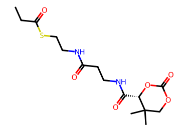 CCC(=O)SCCNC(=O)CCNC(=O)[C@@H]1OC(=O)OCC1(C)C